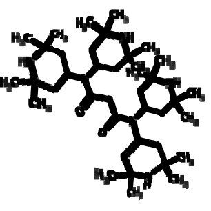 CC1(C)CC(N(C(=O)CC(=O)N(C2CC(C)(C)NC(C)(C)C2)C2CC(C)(C)NC(C)(C)C2)C2CC(C)(C)NC(C)(C)C2)CC(C)(C)N1